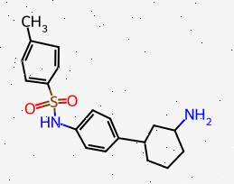 Cc1ccc(S(=O)(=O)Nc2ccc(C3CCCC(N)C3)cc2)cc1